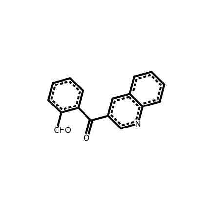 O=Cc1ccccc1C(=O)c1cnc2ccccc2c1